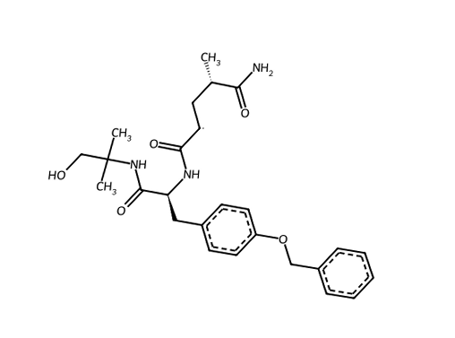 C[C@@H](C[CH]C(=O)N[C@@H](Cc1ccc(OCc2ccccc2)cc1)C(=O)NC(C)(C)CO)C(N)=O